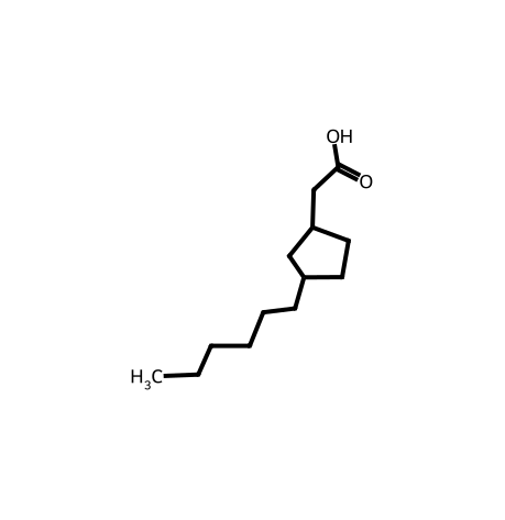 CCCCCCC1CCC(CC(=O)O)C1